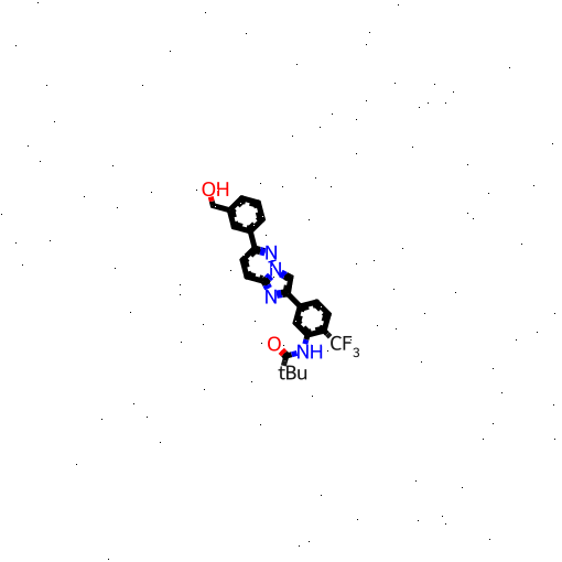 CC(C)(C)C(=O)Nc1cc(-c2cn3nc(-c4cccc(CO)c4)ccc3n2)ccc1C(F)(F)F